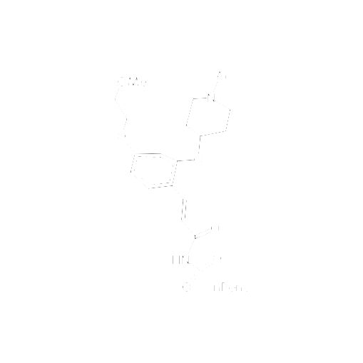 CCCCCS(=O)(=O)NC(=O)C=Cc1ccc(OCCOC)cc1OC1CCN(C(C)=O)CC1